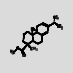 COC(=O)C1(C)CCCC2(C)C3CC=C(C(C)C)C=C3CCC12